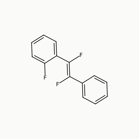 FC(=C(F)c1ccccc1F)c1ccccc1